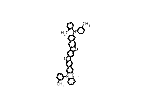 CC1=CCCC(N(c2ccc3cc4c(cc3c2)oc2cc3c(cc24)oc2cc4cc(N(c5cccc(C)c5)c5ccccc5C)ccc4cc23)c2ccccc2C)=C1